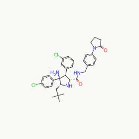 CC(C)(C)C[C@@H]1N[C@@H](C(=O)NCc2ccc(N3CCCC3=O)cc2)[C@H](c2cccc(Cl)c2)[C@@]1(N)c1ccc(Cl)cc1